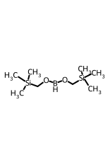 C[Si](C)(C)COBOC[Si](C)(C)C